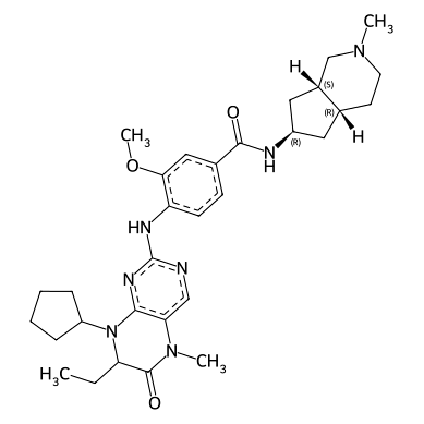 CCC1C(=O)N(C)c2cnc(Nc3ccc(C(=O)N[C@@H]4C[C@H]5CCN(C)C[C@H]5C4)cc3OC)nc2N1C1CCCC1